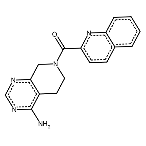 Nc1ncnc2c1CCN(C(=O)c1ccc3ccccc3n1)C2